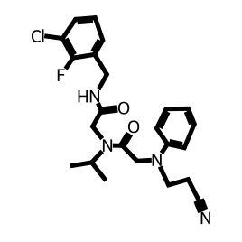 CC(C)N(CC(=O)NCc1cccc(Cl)c1F)C(=O)CN(CCC#N)c1ccccc1